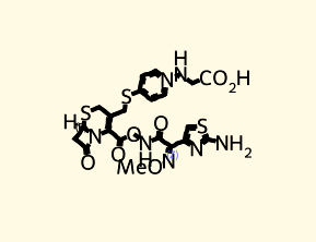 CO/N=C(\C(=O)NOC(=O)C1=C(CSc2cc[n+](NCC(=O)O)cc2)CS[C@@H]2CC(=O)N12)c1csc(N)n1